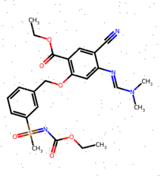 CCOC(=O)N=S(C)(=O)c1cccc(COc2cc(N=CN(C)C)c(C#N)cc2C(=O)OCC)c1